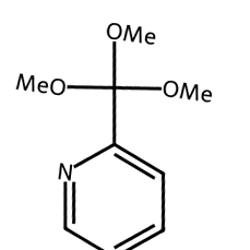 COC(OC)(OC)c1ccccn1